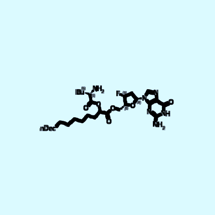 CCCCCCCCCCCCCCCCC(OC(=O)[C@@H](N)[C@@H](C)CC)C(=O)OC[C@H]1O[C@@H](n2cnc3c(=O)[nH]c(N)nc32)C[C@@H]1F